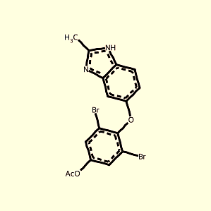 CC(=O)Oc1cc(Br)c(Oc2ccc3[nH]c(C)nc3c2)c(Br)c1